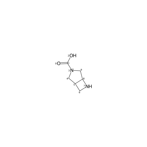 O=C(O)N1CC2CNC2C1